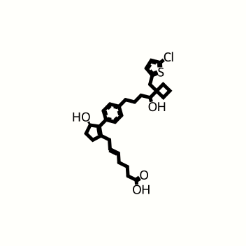 O=C(O)CCCC=CCC1=C(c2ccc(CCCC(O)C3(Cc4ccc(Cl)s4)CCC3)cc2)[C@H](O)CC1